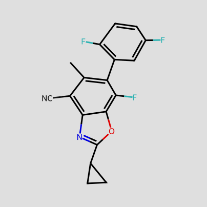 Cc1c(-c2cc(F)ccc2F)c(F)c2oc(C3CC3)nc2c1C#N